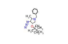 CC1[C@H](N=[N+]=[N-])[C@@H](O[Si](C)(C)C(C)(C)C)CN1Cc1ccccc1